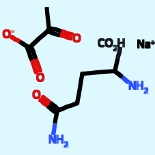 CC(=O)C(=O)[O-].NC(=O)CCC(N)C(=O)O.[Na+]